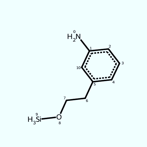 Nc1cccc(CCO[SiH3])c1